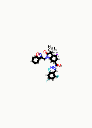 CC1(C)C(=O)N(Cc2noc3ccccc23)c2cc(C(=O)NCc3c(F)cc(F)cc3F)cc(I)c21